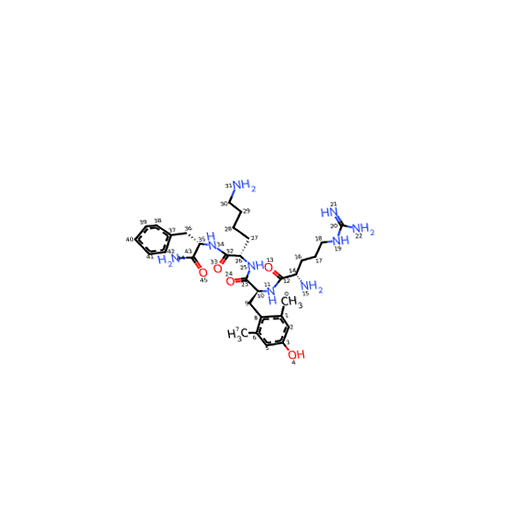 Cc1cc(O)cc(C)c1C[C@H](NC(=O)[C@@H](N)CCCNC(=N)N)C(=O)N[C@@H](CCCCN)C(=O)N[C@@H](Cc1ccccc1)C(N)=O